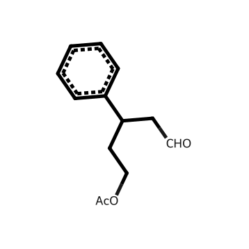 CC(=O)OCCC(CC=O)c1ccccc1